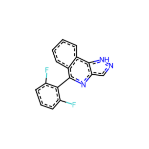 Fc1cccc(F)c1-c1nc2cn[nH]c2c2ccccc12